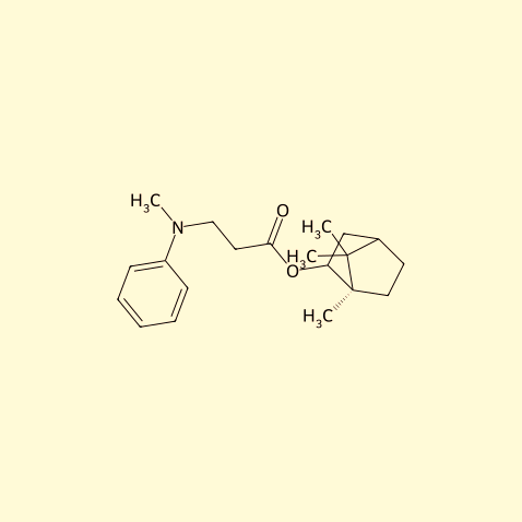 CN(CCC(=O)OC1CC2CC[C@]1(C)C2(C)C)c1ccccc1